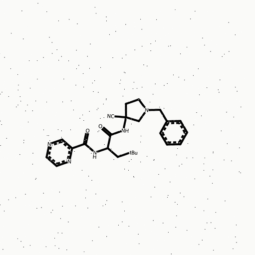 CC(C)(C)CC(NC(=O)c1cnccn1)C(=O)NC1(C#N)CCN(Cc2ccccc2)C1